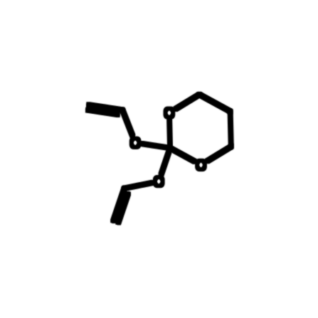 C=COC1(OC=C)OCCCO1